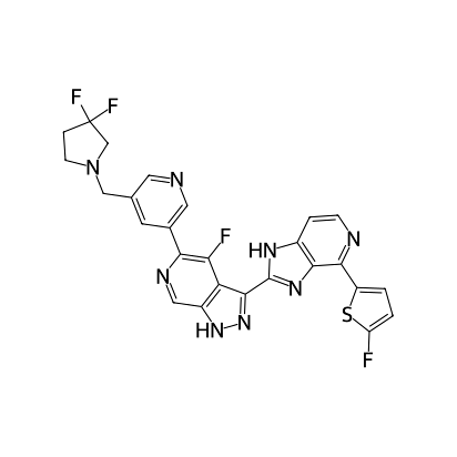 Fc1ccc(-c2nccc3[nH]c(-c4n[nH]c5cnc(-c6cncc(CN7CCC(F)(F)C7)c6)c(F)c45)nc23)s1